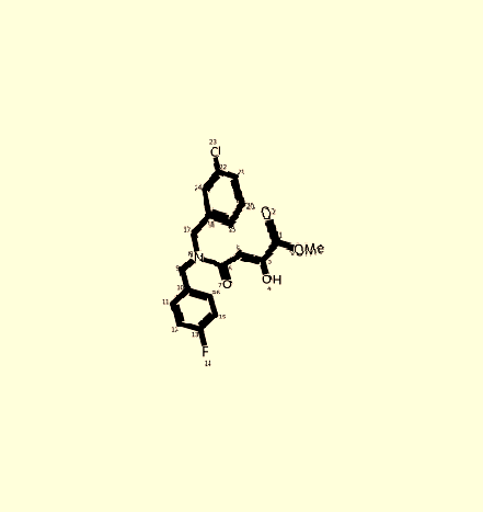 COC(=O)/C(O)=C/C(=O)N(Cc1ccc(F)cc1)Cc1cccc(Cl)c1